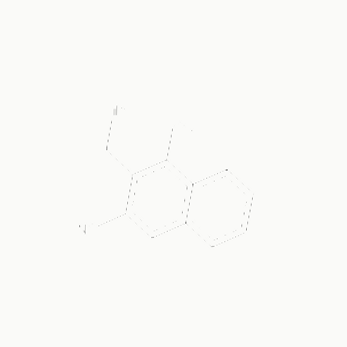 CC(C)Cc1c(C#N)cc2ccccc2c1C(=O)O